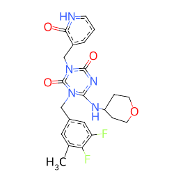 Cc1cc(Cn2c(NC3CCOCC3)nc(=O)n(Cc3ccc[nH]c3=O)c2=O)cc(F)c1F